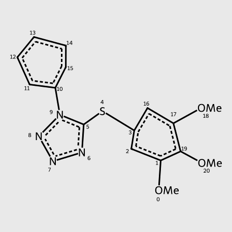 COc1cc(Sc2nnnn2-c2ccccc2)cc(OC)c1OC